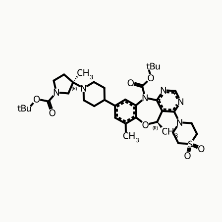 Cc1cc(C2CCN([C@]3(C)CCN(C(=O)OC(C)(C)C)C3)CC2)cc2c1O[C@H](C)c1c(N3CCS(=O)(=O)CC3)ncnc1N2C(=O)OC(C)(C)C